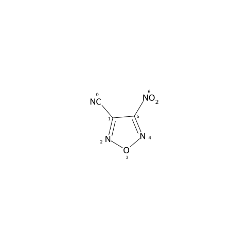 N#Cc1nonc1[N+](=O)[O-]